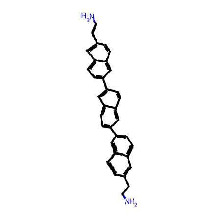 NCCc1ccc2cc(-c3ccc4cc(-c5ccc6cc(CCN)ccc6c5)ccc4c3)ccc2c1